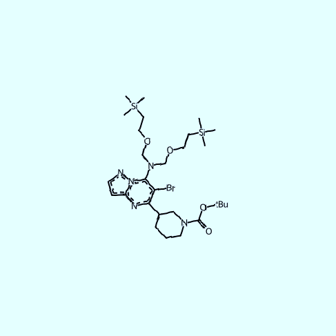 CC(C)(C)OC(=O)N1CCCC(c2nc3ccnn3c(N(COCC[Si](C)(C)C)COCC[Si](C)(C)C)c2Br)C1